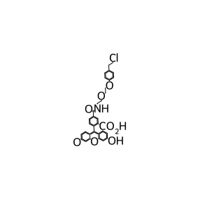 O=C(NCCOCCOc1ccc(CCCl)cc1)c1ccc(-c2c3ccc(=O)cc-3oc3cc(O)ccc23)c(C(=O)O)c1